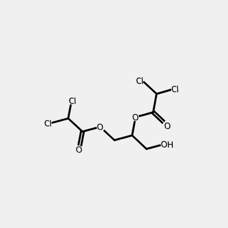 O=C(OCC(CO)OC(=O)C(Cl)Cl)C(Cl)Cl